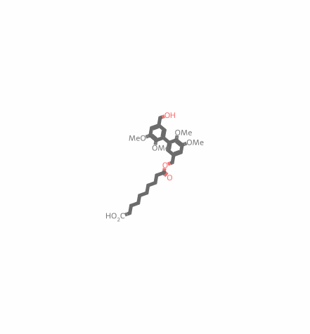 COc1cc(CO)cc(-c2cc(COC(=O)CCCCCCCCC(=O)O)cc(OC)c2OC)c1OC